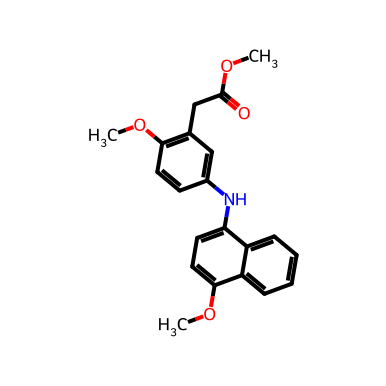 COC(=O)Cc1cc(Nc2ccc(OC)c3ccccc23)ccc1OC